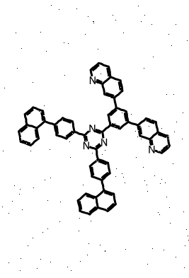 c1cnc2cc(-c3cc(-c4ccc5cccnc5c4)cc(-c4nc(-c5ccc(-c6cccc7ccccc67)cc5)nc(-c5ccc(-c6cccc7ccccc67)cc5)n4)c3)ccc2c1